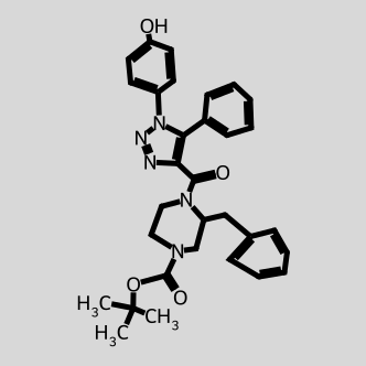 CC(C)(C)OC(=O)N1CCN(C(=O)c2nnn(-c3ccc(O)cc3)c2-c2ccccc2)C(Cc2ccccc2)C1